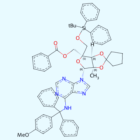 COc1ccc(C(Nc2ncnc3c2ncn3[C@@H]2O[C@@](COC(=O)c3ccccc3)(CO[Si](c3ccccc3)(c3ccccc3)C(C)(C)C)[C@H]3OC4(CCCC4)O[C@]32C)(c2ccccc2)c2ccccc2)cc1